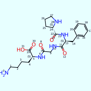 NCCCC[C@H](NC(=O)CNC(=O)[C@H](Cc1ccccc1)NC(=O)[C@@H]1CCCN1)C(=O)O